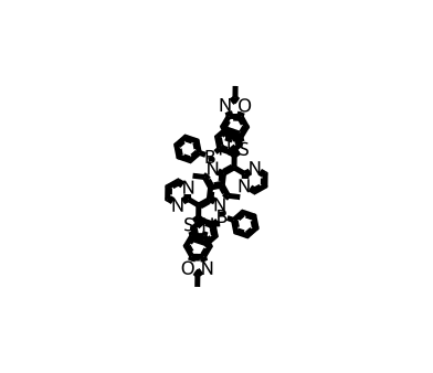 Cc1nc2cc3c(cc2o1)SC(/C(c1ncccn1)=c1/c2c(C)n(B(c4ccccc4)c4ccccc4)/c(=C(/c4ncccn4)c4nc5cc6nc(C)oc6cc5s4)c2c(C)n1B(c1ccccc1)c1ccccc1)N3C